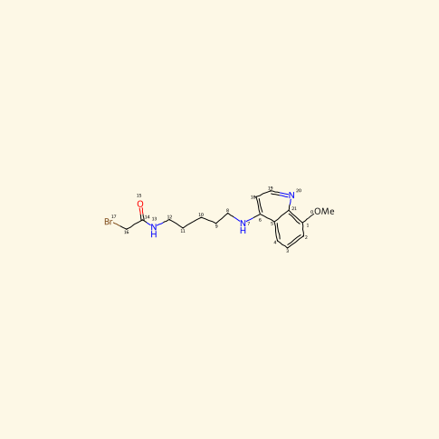 COc1cccc2c(NCCCCCNC(=O)CBr)ccnc12